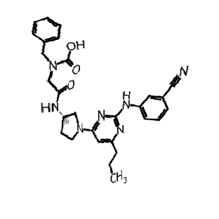 CCCc1cc(N2CC[C@H](NC(=O)CN(Cc3ccccc3)C(=O)O)C2)nc(Nc2cccc(C#N)c2)n1